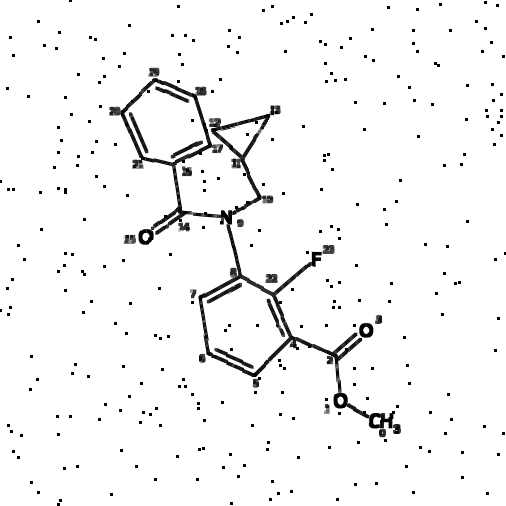 COC(=O)c1cccc(N(CC2CC2)C(=O)c2ccccc2)c1F